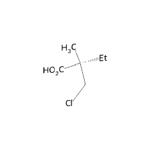 CC[C@](C)(CCl)C(=O)O